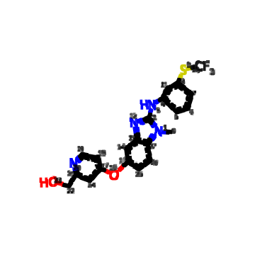 Cn1c(Nc2cccc(SC(F)(F)F)c2)nc2cc(Oc3ccnc(CO)c3)ccc21